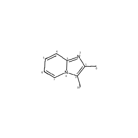 Cc1nc2ccccn2c1C